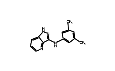 FC(F)(F)c1cc(Nc2n[nH]c3cccnc23)cc(C(F)(F)F)c1